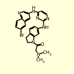 CN(C)CC(=O)N1CCc2ccc(Nc3nccc(Nc4cnc5ccc(Br)cc5c4)n3)cc21